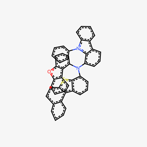 c1ccc(-n2c3ccccc3c3cccc(N(c4cccc5c4sc4ccc6ccccc6c45)c4cccc5oc6ccccc6c45)c32)cc1